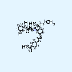 CCCCN1C(=O)/C(=N\NC(=O)Nc2cccc(F)c2)c2cc(SCCc3ccc(C(=O)O)cc3)ccc21